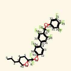 CCCC1CCC(C(F)(F)Oc2ccc(-c3cc(F)c(C(F)(F)Oc4cc(F)c(F)c(F)c4)c(F)c3)c(F)c2)OC1